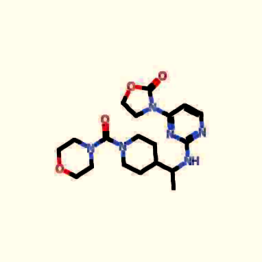 CC(Nc1nccc(N2CCOC2=O)n1)C1CCN(C(=O)N2CCOCC2)CC1